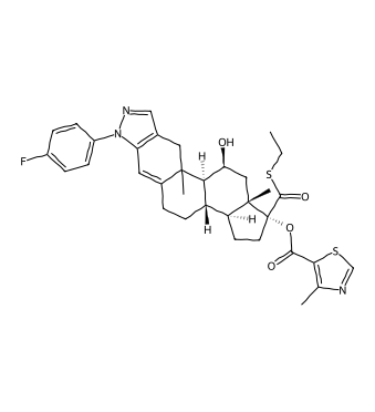 CCSC(=O)[C@@]1(OC(=O)c2scnc2C)CC[C@H]2[C@@H]3CCC4=Cc5c(cnn5-c5ccc(F)cc5)CC4(C)[C@H]3[C@@H](O)C[C@@]21C